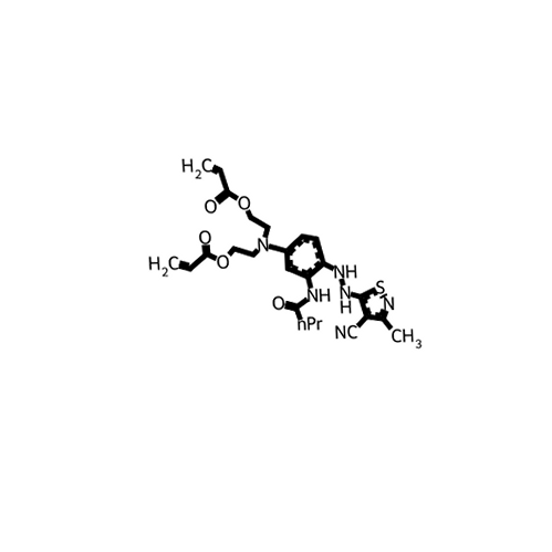 C=CC(=O)OCCN(CCOC(=O)C=C)c1ccc(NNc2snc(C)c2C#N)c(NC(=O)CCC)c1